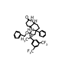 C[C@@H](OCC1(c2ccccc2)CC[C@@H]2NC(=O)CC[C@H]2N1C(=O)OCc1ccccc1)c1cc(C(F)(F)F)cc(C(F)(F)F)c1